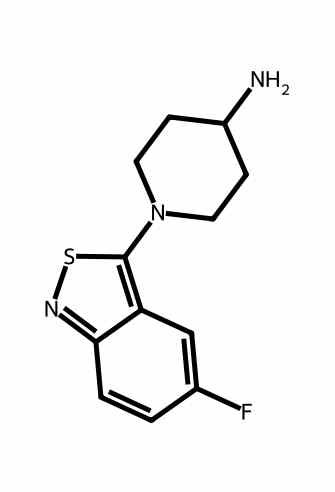 NC1CCN(c2snc3ccc(F)cc23)CC1